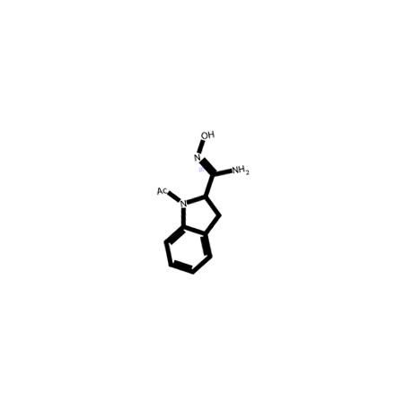 CC(=O)N1c2ccccc2CC1/C(N)=N/O